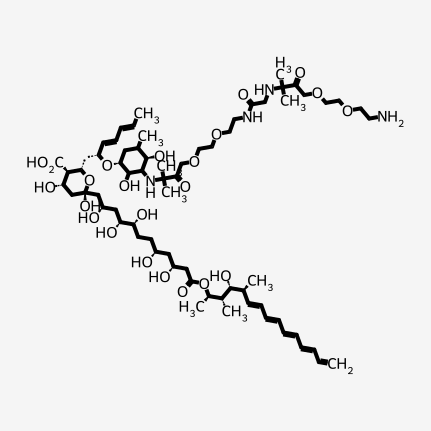 C=C/C=C/C=C/C=C/C=C/[C@H](C)[C@@H](O)[C@H](C)[C@@H](C)OC(=O)C[C@H](O)C[C@H](O)CC[C@@H](O)[C@H](O)C[C@H](O)C[C@]1(O)C[C@H](O)[C@@H](C(=O)O)[C@H](C[C@H](/C=C/C=C/C)O[C@@H]2CC(C)[C@@H](O)C(NC(C)(C)C(=O)COCCOCCNC(=O)CNC(C)(C)C(=O)COCCOCCN)C2O)O1